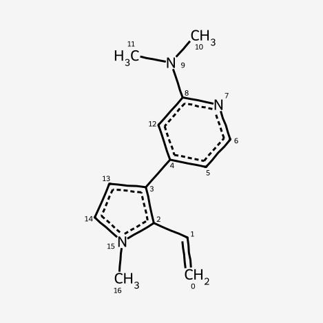 C=Cc1c(-c2ccnc(N(C)C)c2)ccn1C